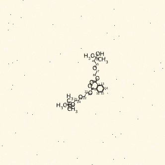 CC(C)(O)CCOCCOC(=O)c1ccccc1C(=O)OCCOCCOC(C)(C)C